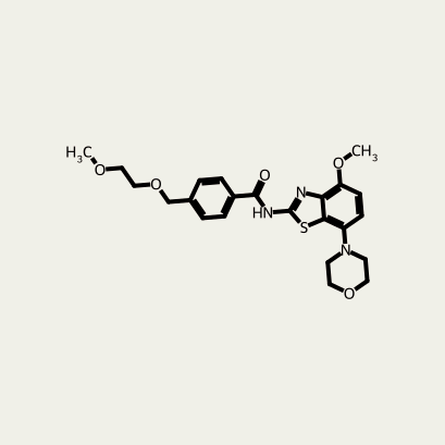 COCCOCc1ccc(C(=O)Nc2nc3c(OC)ccc(N4CCOCC4)c3s2)cc1